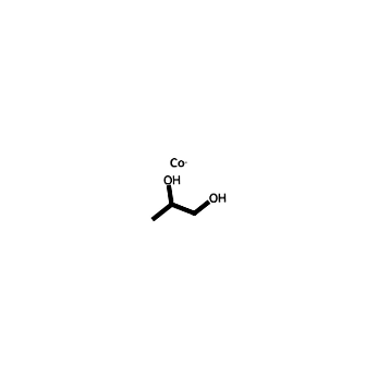 CC(O)CO.[Co]